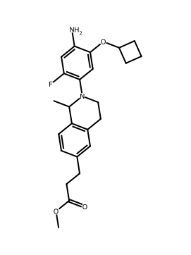 COC(=O)CCc1ccc2c(c1)CCN(c1cc(OC3CCC3)c(N)cc1F)C2C